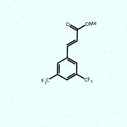 COC(=O)/C=C/c1cc(C(F)(F)F)cc(C(F)(F)F)c1